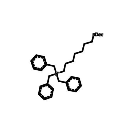 CCCCCCCCCCCCCCCCC[N+](Cc1ccccc1)(Cc1ccccc1)Cc1ccccc1